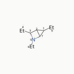 CCC1C2C(CC)N(CC)C12